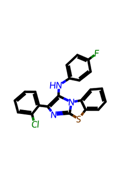 Fc1ccc(Nc2c(-c3ccccc3Cl)nc3sc4ccccc4n23)cc1